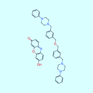 O=c1ccc2nc3ccc(O)cc3oc-2c1.c1ccc(N2CCN(Cc3cccc(COCc4cccc(CN5CCN(c6ccccc6)CC5)c4)c3)CC2)cc1